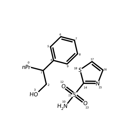 CCCC(CO)c1ccccc1.NS(=O)(=O)c1nccs1